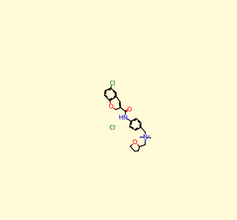 C[N+](C)(Cc1ccc(NC(=O)C2=Cc3cc(Cl)ccc3OC2)cc1)CC1CCCO1.[Cl-]